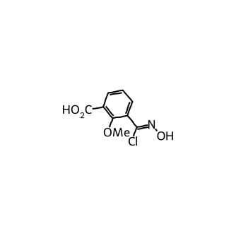 COc1c(C(=O)O)cccc1C(Cl)=NO